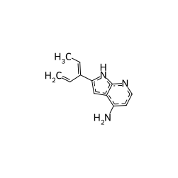 C=C/C(=C\C)c1cc2c(N)ccnc2[nH]1